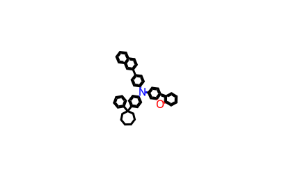 c1ccc(C2(c3ccc(N(c4ccc(-c5ccc6ccccc6c5)cc4)c4ccc5c(c4)oc4ccccc45)cc3)CCCCCC2)cc1